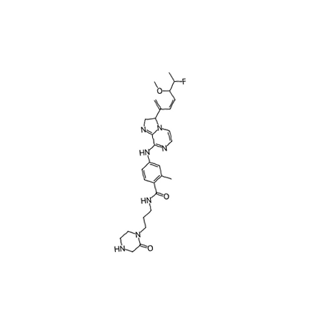 C=C(/C=C\C(OC)C(C)F)C1CN=C2C(Nc3ccc(C(=O)NCCCN4CCNCC4=O)c(C)c3)=NC=CN21